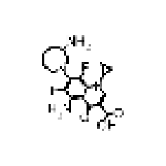 Nc1c(F)c(N2CCCCC(N)C2)c(F)c2c1c(=O)c(C(=O)O)cn2C1CC1